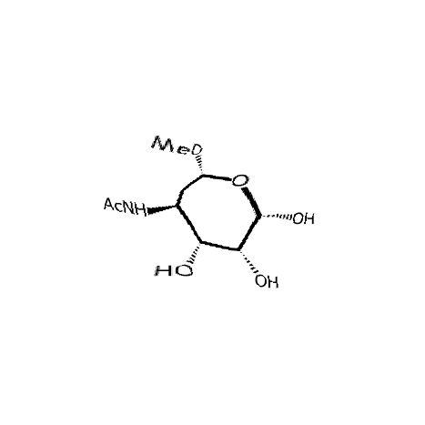 CO[C@@H]1O[C@H](O)[C@H](O)[C@H](O)[C@H]1NC(C)=O